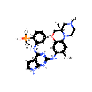 CCN1CCN2c3cc(OC)c(Nc4nc(Nc5ccccc5P(C)(C)=O)c5cc[nH]c5n4)cc3OC[C@H]2C1